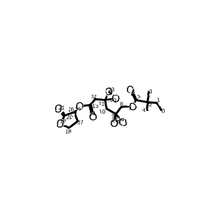 CCC(C)(C)C(=O)OCC1(CC2(CC(=O)OC3CCOC3=O)OO2)OO1